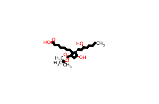 CCCCC[C@H](O)C=C[C@@H]1C(CCCCCCC(=O)O)=C(C(=O)OC(C)(C)C)C[C@H]1O